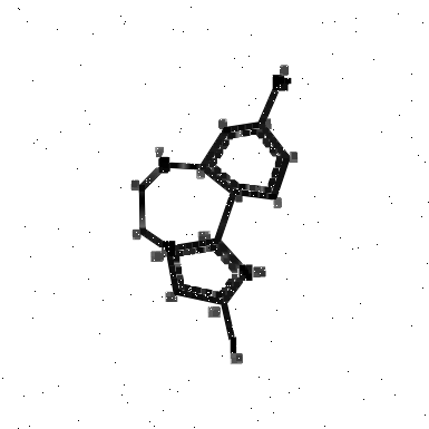 Brc1ccc2c(c1)SCCn1cc(I)nc1-2